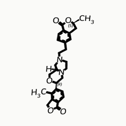 Cc1c([C@@H]2CN3CCN(CCc4ccc5c(c4)C[C@H](C)OC5=O)C[C@H]3CO2)ccc2c1COC2=O